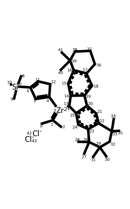 C[C](C)=[Zr+2]([C]1=CC([Si](C)(C)C)=CC1)[CH]1c2cc3c(cc2-c2cc4c(cc21)C(C)(C)C(C)(C)CC4(C)C)CCCC3(C)C.[Cl-].[Cl-]